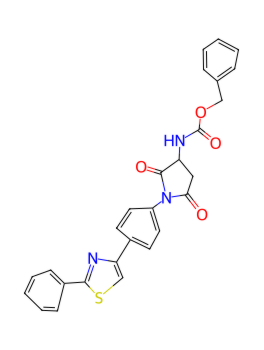 O=C(NC1CC(=O)N(c2ccc(-c3csc(-c4ccccc4)n3)cc2)C1=O)OCc1ccccc1